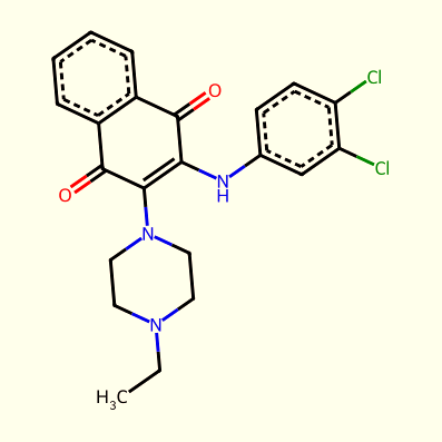 CCN1CCN(C2=C(Nc3ccc(Cl)c(Cl)c3)C(=O)c3ccccc3C2=O)CC1